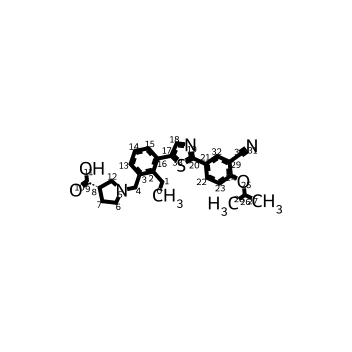 CCc1c(CN2CC[C@H](C(=O)O)C2)cccc1-c1cnc(-c2ccc(OC(C)C)c(C#N)c2)s1